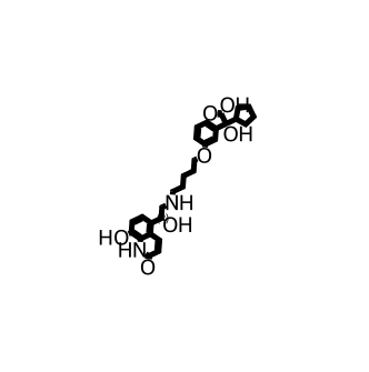 O=C(O)C(O)(c1cccc(OCCCCCNC[C@H](O)c2ccc(O)c3[nH]c(=O)ccc23)c1)C1CCCC1